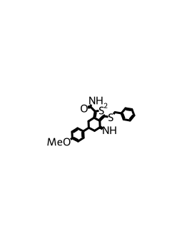 COc1ccc(C2CC(=N)c3c(SCc4ccccc4)sc(C(N)=O)c3C2)cc1